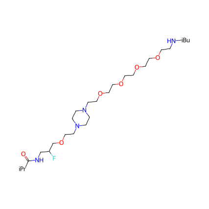 CCC(C)NCCOCCOCCOCCOCCN1CCN(CCOCC(F)CNC(=O)C(C)C)CC1